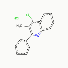 Cc1c(-c2ccccc2)nc2ccccc2c1Cl.Cl